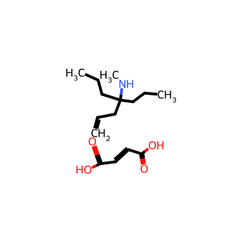 C=CCC(CCC)(CCC)NC.O=C(O)C=CC(=O)O